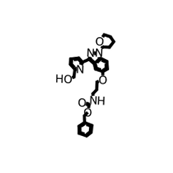 O=C(NCCCOc1ccc2c(c1)c(-c1cccc(CO)n1)nn2C1CCCCO1)OCc1ccccc1